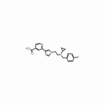 O=C(O)c1ccnc(-c2cn(CCN(Cc3ccc(F)cc3)C3CC3)cn2)c1